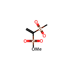 C=C(S(C)(=O)=O)S(=O)(=O)OC